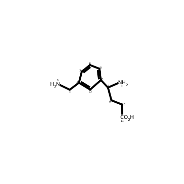 NCc1cccc(C(N)CCC(=O)O)c1